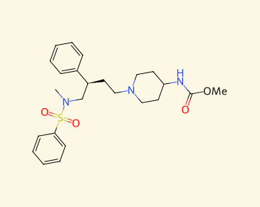 COC(=O)NC1CCN(CC[C@@H](CN(C)S(=O)(=O)c2ccccc2)c2ccccc2)CC1